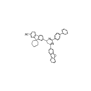 N#Cc1ccc2c(c1)C1(CCCCC1)c1cc(C3CC(c4ccc5c(c4)oc4ccccc45)=NC(c4ccc(-c5ccccc5)cc4)=N3)ccc1-2